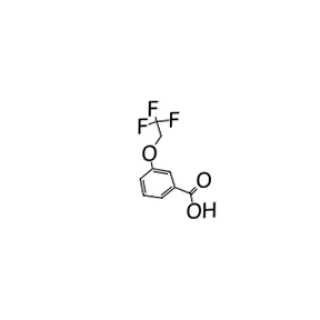 O=C(O)c1cccc(OCC(F)(F)F)c1